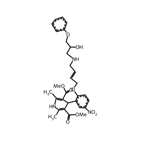 COC(=O)C1=C(C)NC(C)=C(C(=O)OC)C1c1cc([N+](=O)[O-])ccc1OCC=CCNCC(O)COc1ccccc1